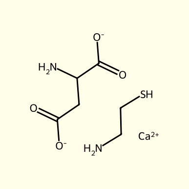 NC(CC(=O)[O-])C(=O)[O-].NCCS.[Ca+2]